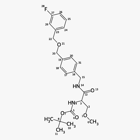 COCC(NC(=O)OC(C)(C)C)C(=O)NCc1ccc(COCc2cccc(F)c2)cc1